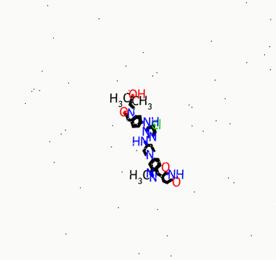 Cn1nc(C2CCC(=O)NC2=O)c2ccc(N3CCC(Nc4ncc(Cl)c(Nc5ccc6c(c5)N(CCC(C)(C)O)C(=O)C6)n4)CC3)cc21